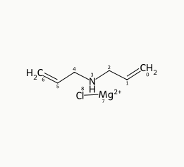 C=CCNCC=C.[Mg+2][Cl]